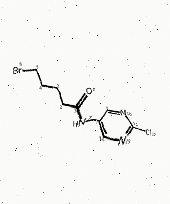 O=C(CCCCBr)Nc1cnc(Cl)nc1